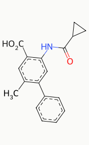 Cc1cc(C(=O)O)c(NC(=O)C2CC2)cc1-c1ccccc1